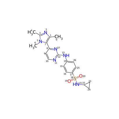 Cc1nc(C)n(C)c1-c1ccnc(Nc2ccc(S(=O)(=O)NC3CC3)cc2)n1